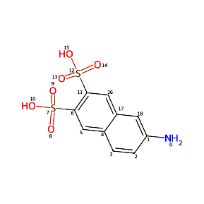 Nc1ccc2cc(S(=O)(=O)O)c(S(=O)(=O)O)cc2c1